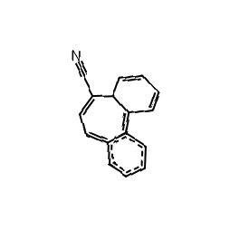 N#CC1=CC=c2ccccc2=C2C=CC=CC12